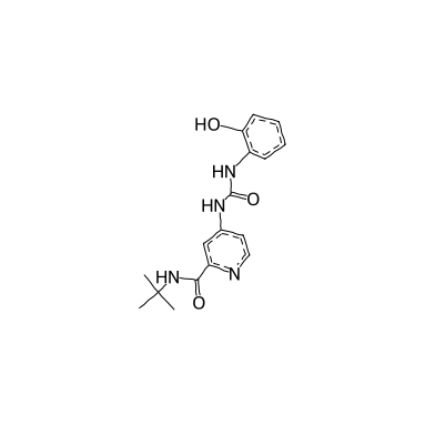 CC(C)(C)NC(=O)c1cc(NC(=O)Nc2ccccc2O)ccn1